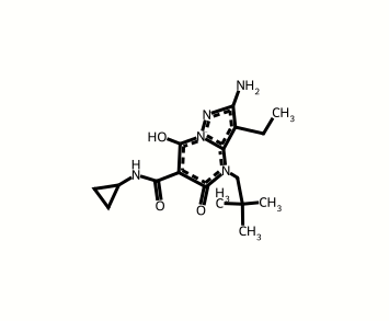 CCc1c(N)nn2c(O)c(C(=O)NC3CC3)c(=O)n(CC(C)(C)C)c12